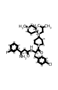 CC(C)CN(C1CCN(C(=O)[C@@H](Cc2ccc(Cl)cc2)NC(=O)CC(N)c2cccc(F)c2)CC1)N1CCN(C)CC1